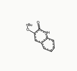 CCCCOc1cc2ccccc2[nH]c1=O